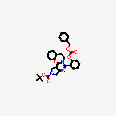 CC(C)(C)OC(=O)N1Cc2nc(-c3ccccc3OC(=O)OCc3ccccc3)n(CCc3ccccc3)c(=O)c2C1